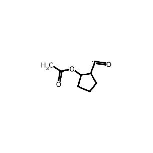 CC(=O)OC1CCCC1[C]=O